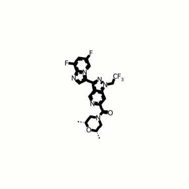 C[C@@H]1CN(C(=O)c2cc3c(cn2)c(-c2cnc4c(F)cc(F)cn24)nn3CC(F)(F)F)C[C@H](C)O1